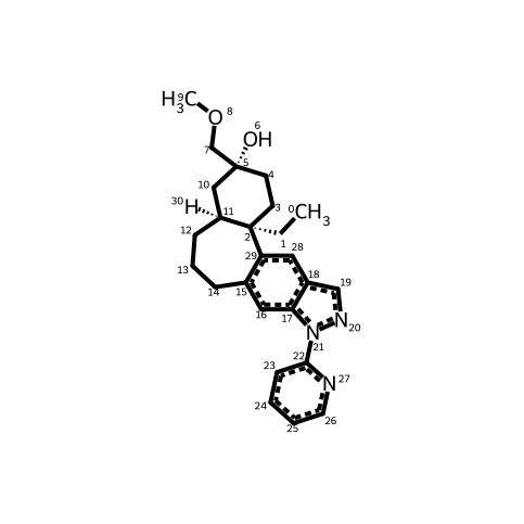 CC[C@@]12CC[C@](O)(COC)C[C@@H]1CCCc1cc3c(cnn3-c3ccccn3)cc12